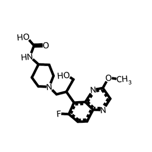 COc1cnc2ccc(F)c(C(CO)CN3CCC(NC(=O)O)CC3)c2n1